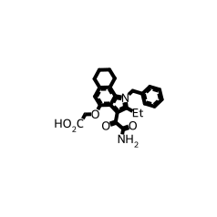 CCc1c(C(=O)C(N)=O)c2c(OCC(=O)O)cc3c(c2n1Cc1ccccc1)CCCC3